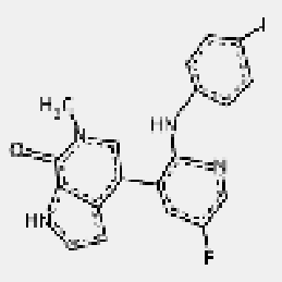 Cn1cc(-c2cc(F)cnc2Nc2ccc(F)cc2)c2cc[nH]c2c1=O